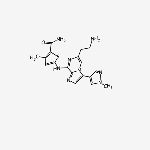 Cc1cc(Nc2nc(CCN)cn3c(-c4cnn(C)c4)cnc23)sc1C(N)=O